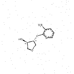 Nc1cccnc1O[C@@H]1COC[C@H]1O